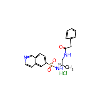 C[C@H](CNC(=O)Cc1ccccc1)NS(=O)(=O)c1ccc2cnccc2c1.Cl